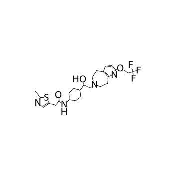 Cc1ncc(CC(=O)NC2CCC(C(O)CN3CCc4ccc(OCC(F)(F)F)nc4CC3)CC2)s1